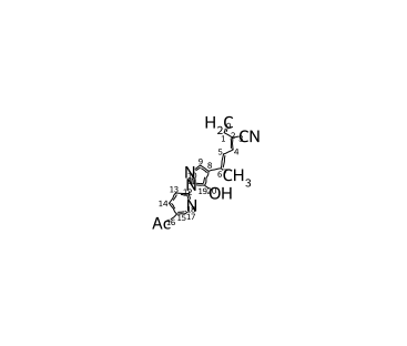 C=C/C(C#N)=C\C=C(/C)c1cnn(-c2ccc(C(C)=O)cn2)c1O